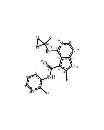 Cc1ncccc1NC(=O)c1c(C)oc2ncnc(NC3(C)CC3)c12